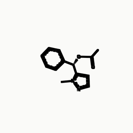 CC(=O)O[C@@H](c1ccccc1)c1ccnn1C